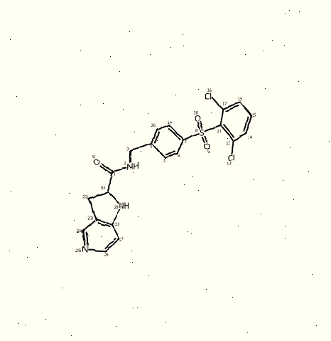 O=C(NCc1ccc(S(=O)(=O)c2c(Cl)cccc2Cl)cc1)C1Cc2cnccc2N1